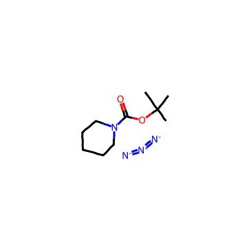 CC(C)(C)OC(=O)N1CCCCC1.[N-]=[N+]=[N-]